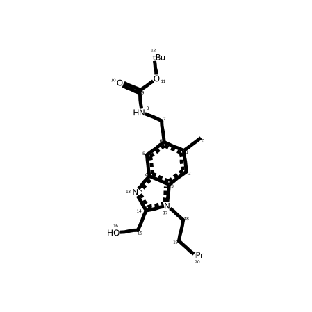 Cc1cc2c(cc1CNC(=O)OC(C)(C)C)nc(CO)n2CCC(C)C